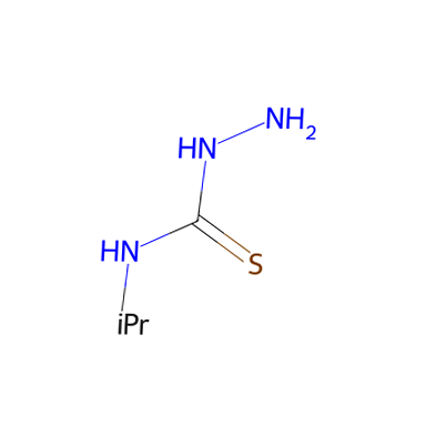 CC(C)NC(=S)NN